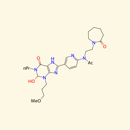 CCCN1C(=O)c2[nH]c(-c3ccc(N(CCN4CCCCCC4=O)C(C)=O)nc3)nc2N(CCCOC)C1O